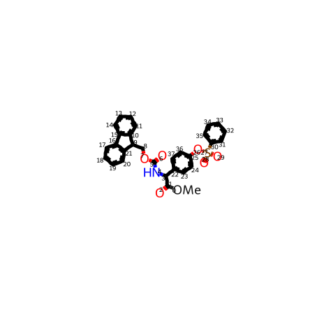 COC(=O)C(NC(=O)OCC1c2ccccc2-c2ccccc21)c1ccc(OS(=O)(=O)c2ccccc2)cc1